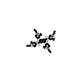 CCCCON1C(C(C)C)CC(OC(=O)c2cc3cc(OC4CC(C(C)C)N(OCCCC)C(C)(C)C4)c(C(=O)OC4CC(C(C)C)N(OCCCC)C(C)(C)C4)cc3cc2OC2CC(C(C)C)N(OCCCC)C(C)(C)C2)CC1(C)C